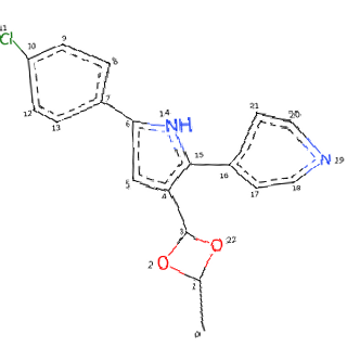 CC1OC(c2cc(-c3ccc(Cl)cc3)[nH]c2-c2ccncc2)O1